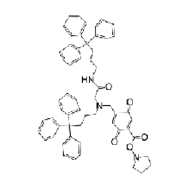 O=C(CN(CCCC(c1ccccc1)(c1ccccc1)c1ccccc1)CC1=CC(=O)C(C(=O)ON2CCCC2)=CC1=O)NCCCC(c1ccccc1)(c1ccccc1)c1ccccc1